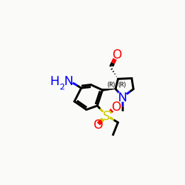 CCS(=O)(=O)c1ccc(N)cc1[C@H]1[C@H](C=O)CCN1C